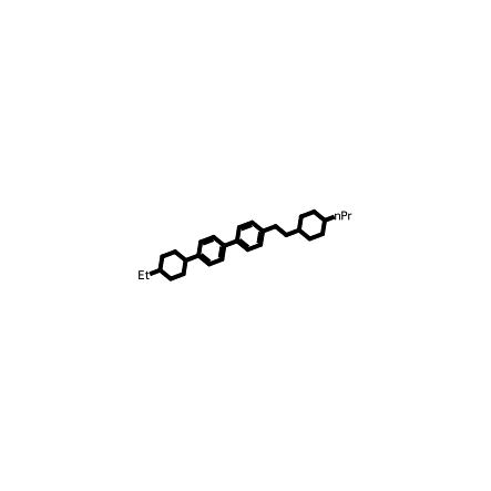 CCCC1CCC(CCc2ccc(-c3ccc(C4CCC(CC)CC4)cc3)cc2)CC1